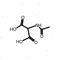 CC(=O)NC(C(=O)O)C(=O)O